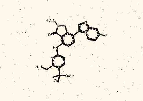 COC1(c2ccc(Nc3ccc(-c4cnc5cc(F)ccn45)c4c3C(=O)N(C(=O)O)C4)nc2CN)CC1